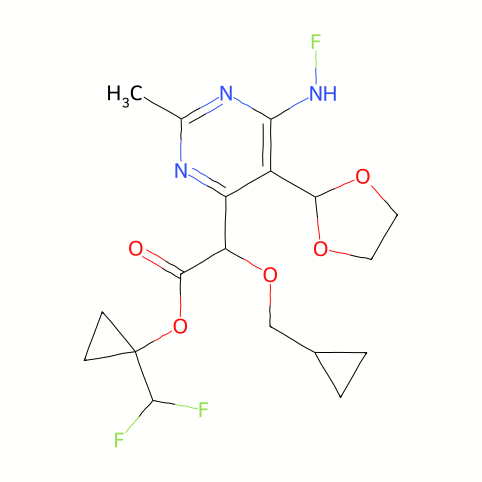 Cc1nc(NF)c(C2OCCO2)c(C(OCC2CC2)C(=O)OC2(C(F)F)CC2)n1